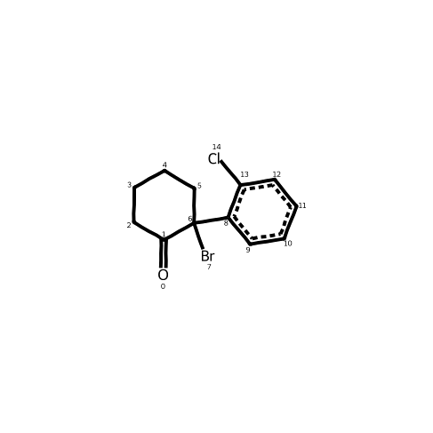 O=C1CCCCC1(Br)c1ccccc1Cl